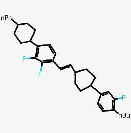 CCCCc1ccc(C2CCC(/C=C/c3ccc(C4CCC(CCC)CC4)c(F)c3F)CC2)cc1F